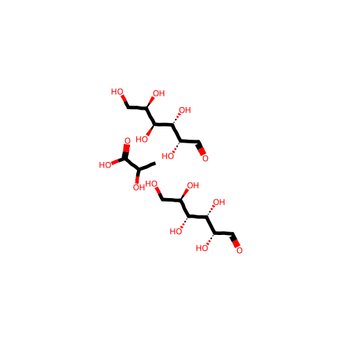 CC(O)C(=O)O.O=C[C@H](O)[C@@H](O)[C@@H](O)[C@H](O)CO.O=C[C@H](O)[C@@H](O)[C@H](O)[C@H](O)CO